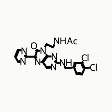 CC(=O)NCCn1c(=O)c(-c2ncccn2)nc2cnc(NCc3ccc(Cl)c(Cl)c3)nc21